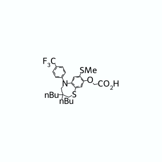 CCCCC1(CCCC)CSc2cc(OCC(=O)O)c(SC)cc2N(c2ccc(C(F)(F)F)cc2)C1